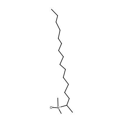 CCCCCCCCCCCCCCC(C)[N+](C)(C)[O-]